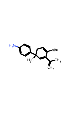 C=C(C)C1=CC(C)(c2ccc(N)cc2)CC=C1CCCC